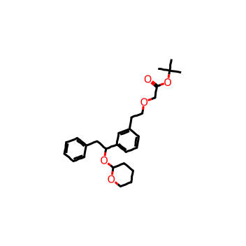 CC(C)(C)OC(=O)COCCc1cccc(C(Cc2ccccc2)OC2CCCCO2)c1